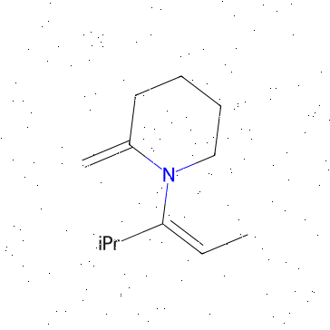 C=C1CCCCN1/C(=C\C)C(C)C